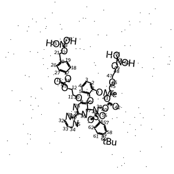 COc1ccccc1Oc1c(OCCOC(=O)Oc2ccc(CON(O)O)cc2)nc(-c2ncccn2)nc1N(COC(=O)OCCOCCON(O)O)S(=O)(=O)c1ccc(C(C)(C)C)cc1